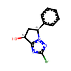 O[C@H]1C[C@@H](c2ccccc2)n2nc(Br)nc21